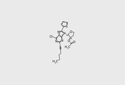 CCCCC#Cc1nc(Cl)c2nc(-c3cccs3)n([C@@H]3OCC[C@H]3OC(C)=O)c2n1